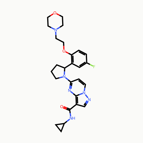 O=C(NC1CC1)c1cnn2ccc(N3CCCC3c3cc(F)ccc3OCCN3CCOCC3)nc12